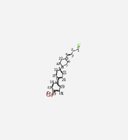 FCCC=CC1CCC(c2ccc(-c3ccc(Br)cc3)cc2)CC1